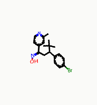 Cc1cc(/C(CC(c2ccc(Br)cc2)C(C)(C)C)=N/O)ccn1